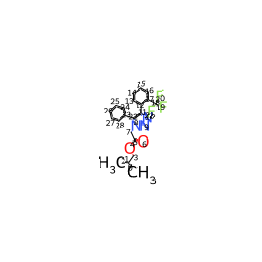 CC(C)COC(=O)Cn1nnc(-c2ccccc2C(F)(F)F)c1-c1ccccc1